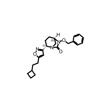 O=C1N2C[C@@H](CC[C@H]2c2cc(CCC3CCC3)on2)N1OCc1ccccc1